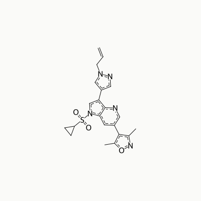 C=CCn1cc(-c2cn(S(=O)(=O)C3CC3)c3cc(-c4c(C)noc4C)cnc23)cn1